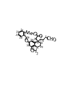 COC(=O)CC1(CCCC=O)CCCc2c(C)cc(OCc3ccccc3)cc21